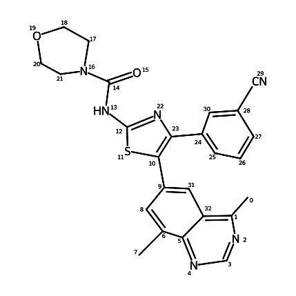 Cc1ncnc2c(C)cc(-c3sc(NC(=O)N4CCOCC4)nc3-c3cccc(C#N)c3)cc12